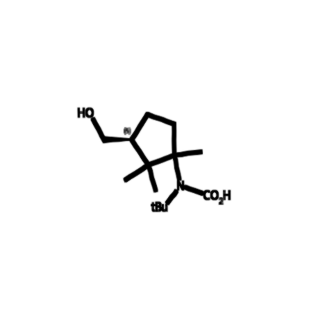 CC(C)(C)N(C(=O)O)C1(C)CC[C@H](CO)C1(C)C